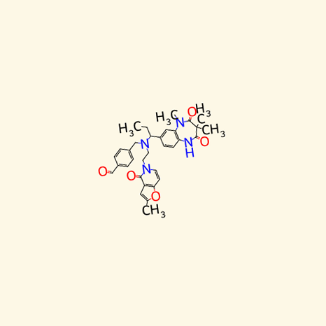 CCC(c1ccc2c(c1)N(C)C(=O)C(C)(C)C(=O)N2)N(CCn1ccc2oc(C)cc2c1=O)Cc1ccc(C=O)cc1